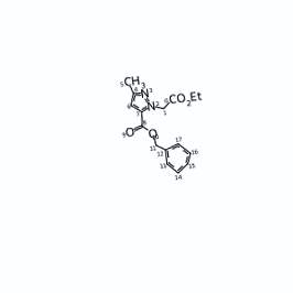 CCOC(=O)Cn1nc(C)cc1C(=O)OCc1ccccc1